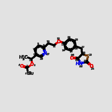 CC(OC(=O)C(C)(C)C)c1ccc(CCOc2ccc(CC3SC(=O)NC3=O)cc2)nc1